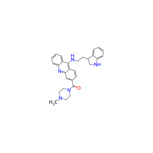 CN1CCN(C(=O)c2ccc3c(NCCC4CNc5ccccc54)c4ccccc4nc3c2)CC1